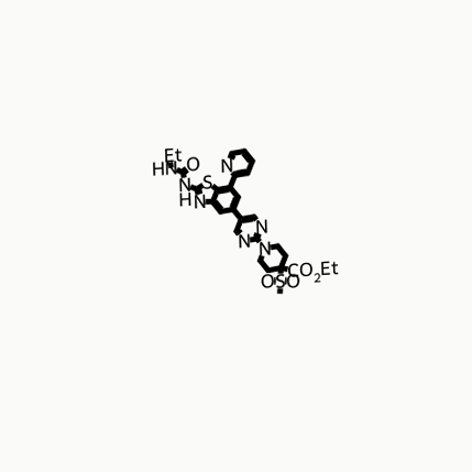 CCNC(=O)Nc1nc2cc(-c3cnc(N4CCC(C(=O)OCC)(S(C)(=O)=O)CC4)nc3)cc(-c3ccccn3)c2s1